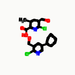 Cc1cc(C=O)c(Cl)nc1C(=O)O.O=Cc1cc(-c2ccccc2)cnc1Cl